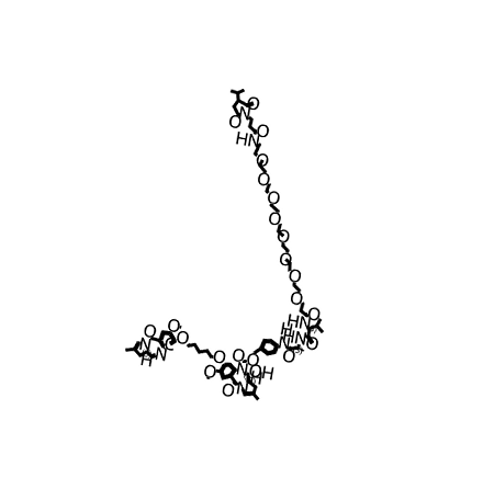 COc1cc2c(cc1OCCCCCOc1cc3c(cc1OC)C(=O)N1C=C(C)C[C@H]1[C@H](O)N3C(=O)OCc1ccc(NC(=O)[C@H](C)NC(=O)[C@@H](NC(=O)CCOCCOCCOCCOCCOCCOCCOCCOCCNC(=O)CCN3C(=O)CC(C(C)C)C3=O)C(C)C)cc1)N=C[C@@H]1CC(C)=CN1C2=O